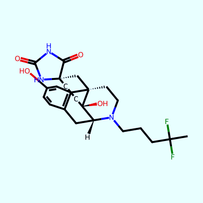 CC(F)(F)CCCN1CC[C@]23C[C@]4(CC[C@@]2(O)[C@H]1Cc1ccc(O)cc13)NC(=O)NC4=O